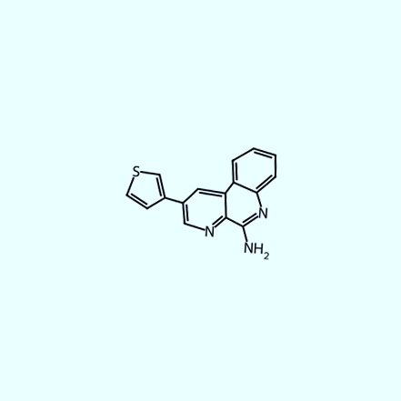 Nc1nc2ccccc2c2cc(-c3ccsc3)cnc12